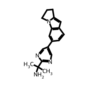 CC(C)(N)c1ncc(-c2ccc3cc4n(c3c2)CCC4)cn1